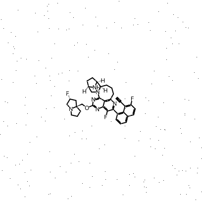 C#Cc1c(F)ccc2cccc(-c3nc4c5c(nc(OC[C@@]67CCCN6C[C@H](F)C7)nc5c3F)N3C[C@H]5CC[C@H](N5)[C@H]3CCC4)c12